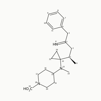 C[C@H](CC(=N)Cc1ccccc1)C1(N(C)C2CCN(C(=O)O)CC2)CC1